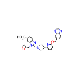 O=C(O)c1ccc2nc(CN3CCC(c4cccc(OCc5ccc6nccnc6c5)n4)CC3)n(C[C@@H]3CCO3)c2c1